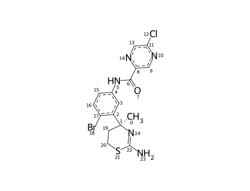 C[C@@]1(c2cc(NC(=O)c3cnc(Cl)cn3)ccc2Br)CCSC(N)=N1